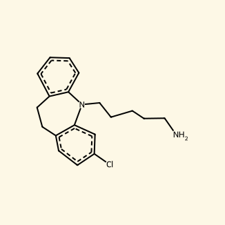 NCCCCCN1c2ccccc2CCc2ccc(Cl)cc21